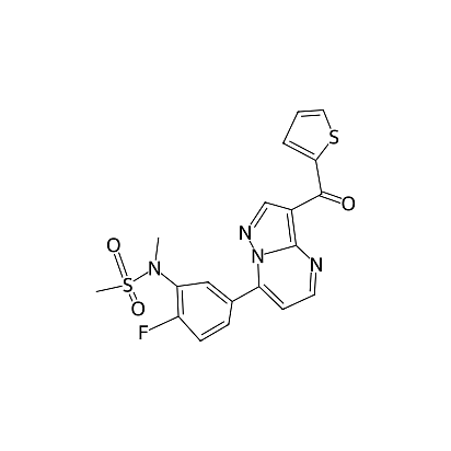 CN(c1cc(-c2ccnc3c(C(=O)c4cccs4)cnn23)ccc1F)S(C)(=O)=O